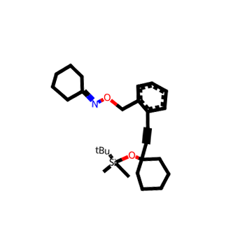 CC(C)(C)[Si](C)(C)OC1(C#Cc2ccccc2CON=C2CCCCC2)CCCCC1